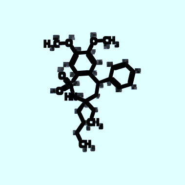 CCCC[C@]1(CC)C[C@H](c2ccccc2)c2cc(OC)c(OC)cc2S(=O)(=O)N1